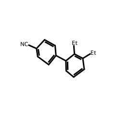 CCc1cccc(-c2ccc(C#N)cc2)c1CC